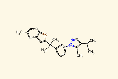 Cc1ccc2sc(C(C)(C)c3cccc(-n4ncc(C(C)C)c4C)c3)cc2c1